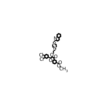 CCOC(=O)c1ccc2oc(-c3ccc(Cl)c(Cl)c3)c(OCCCN3CCN(Cc4ccc5ccccc5n4)CC3)c(=O)c2c1